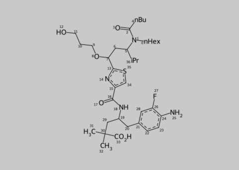 CCCCCCN(C(=O)CCCC)C(CC(OCCCO)c1nc(C(=O)NC(Cc2ccc(N)c(F)c2)CC(C)(C)C(=O)O)cs1)C(C)C